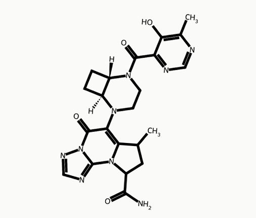 Cc1ncnc(C(=O)N2CCN(c3c4n(c5ncnn5c3=O)C(C(N)=O)CC4C)[C@H]3CC[C@@H]32)c1O